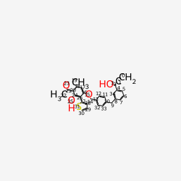 C=C=C(O)c1cccc(Cc2ccc(COC3=CC(C)C(C(C)=O)C(O)=C3c3cccs3)cc2)c1